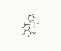 CCCc1c(C(=O)O)c(=O)cnn1-c1ccccc1